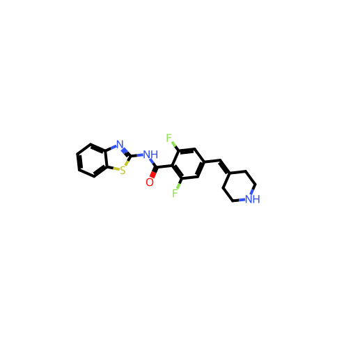 O=C(Nc1nc2ccccc2s1)c1c(F)cc(C=C2CCNCC2)cc1F